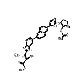 CC[C@@H](C(=N)C(=O)OC(C)(C)C)c1nc2ccc(-c3ccc4cc(-c5cnc([C@@H]6CCNC6OC(=O)C(C)(C)C)[nH]5)ccc4c3)cc2[nH]1